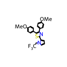 COc1ccc(-c2nc(-c3cccn3CC(F)(F)F)sc2-c2ccc(OC)cc2)cc1